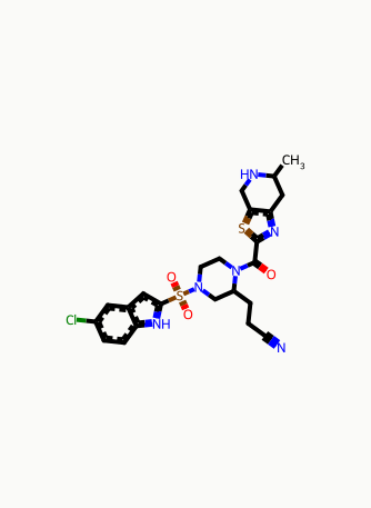 CC1Cc2nc(C(=O)N3CCN(S(=O)(=O)c4cc5cc(Cl)ccc5[nH]4)CC3CCC#N)sc2CN1